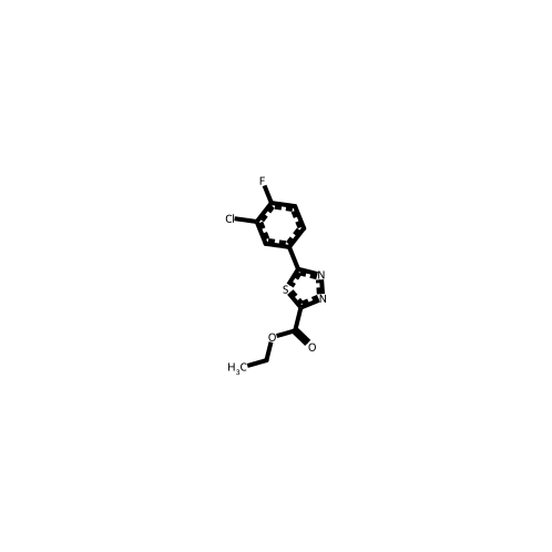 CCOC(=O)c1nnc(-c2ccc(F)c(Cl)c2)s1